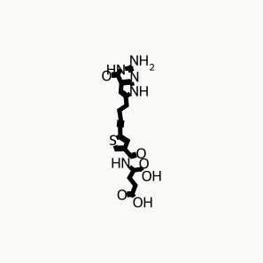 Nc1nc2[nH]c(CCC#Cc3cc(C(=O)NC(CCC(=O)O)C(=O)O)cs3)cc2c(=O)[nH]1